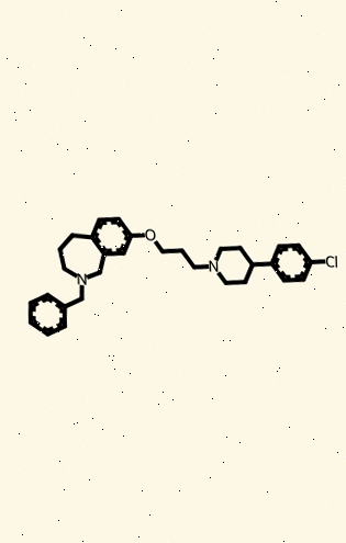 Clc1ccc(C2CCN(CCCOc3ccc4c(c3)CN(Cc3ccccc3)CCC4)CC2)cc1